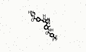 Cc1c(NC(=O)c2ccc(C(F)(F)F)cc2)cccc1-c1ncnc2[nH]c(-c3ccc(C(=O)N4CCNCC4)cc3)cc12